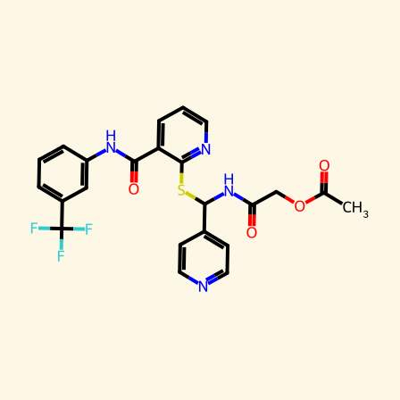 CC(=O)OCC(=O)NC(Sc1ncccc1C(=O)Nc1cccc(C(F)(F)F)c1)c1ccncc1